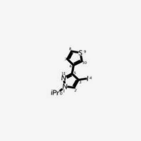 CC(C)n1cc(I)c(-c2ccsc2)n1